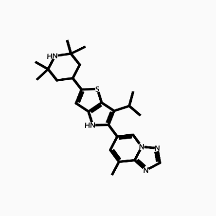 Cc1cc(-c2[nH]c3cc(C4CC(C)(C)NC(C)(C)C4)sc3c2C(C)C)cn2ncnc12